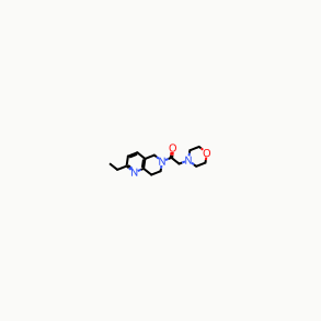 CCc1ccc2c(n1)CCN(C(=O)CN1CCOCC1)C2